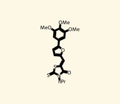 CCCN1C(=O)/C(=C/c2ccc(-c3cc(OC)c(OC)c(OC)c3)o2)SC1=S